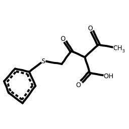 CC(=O)C(C(=O)O)C(=O)CSc1ccccc1